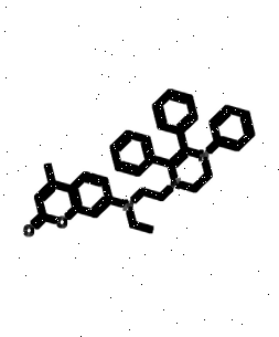 CCN(CCN1CCN(c2ccccc2)C(c2ccccc2)=C1c1ccccc1)c1ccc2c(C)cc(=O)oc2c1